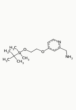 CC(C)(C)[Si](C)(C)OCCOc1ccnc(CN)c1